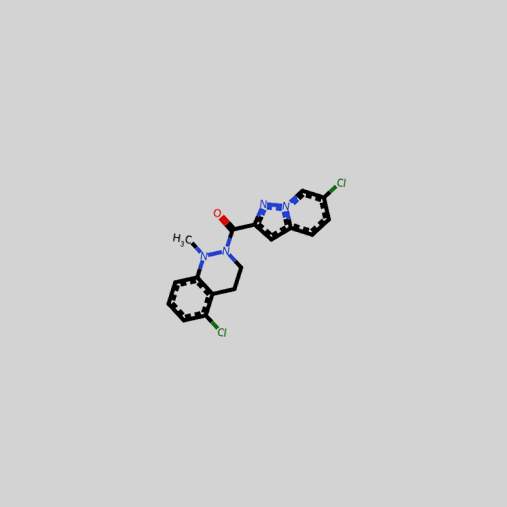 CN1c2cccc(Cl)c2CCN1C(=O)c1cc2ccc(Cl)cn2n1